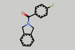 O=C(c1[c]cc(F)cc1)N1Cc2ccccc2C1